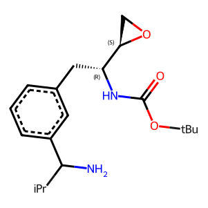 CC(C)C(N)c1cccc(C[C@@H](NC(=O)OC(C)(C)C)[C@H]2CO2)c1